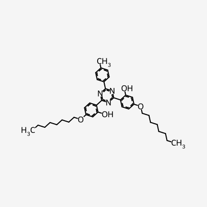 CCCCCCCCOc1ccc(-c2nc(-c3ccc(C)cc3)nc(-c3ccc(OCCCCCCCC)cc3O)n2)c(O)c1